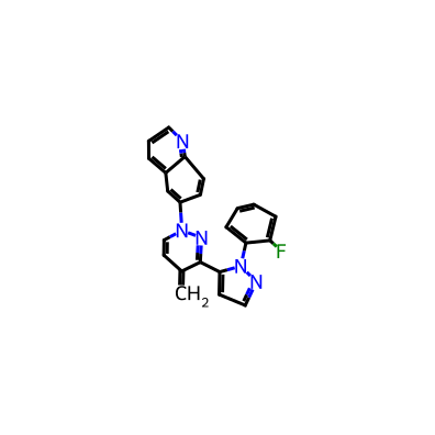 C=C1C=CN(c2ccc3ncccc3c2)N=C1c1ccnn1-c1ccccc1F